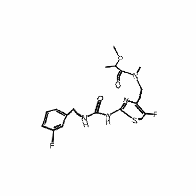 COC(C)C(=O)N(C)Cc1nc(NC(=O)NCc2cccc(F)c2)sc1F